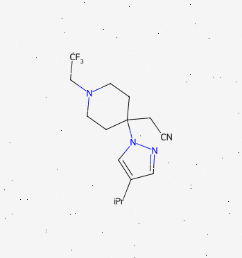 CC(C)c1cnn(C2(CC#N)CCN(CC(F)(F)F)CC2)c1